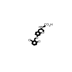 O=C(O)CNC1COc2cc(OCc3c(Cl)cccc3Cl)ccc2C1